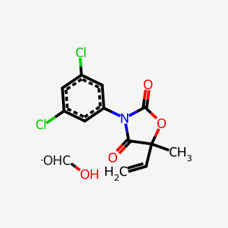 C=CC1(C)OC(=O)N(c2cc(Cl)cc(Cl)c2)C1=O.O=[C]O